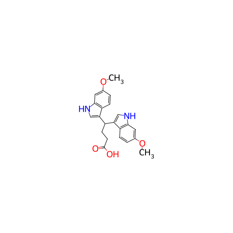 COc1ccc2c(C(CCC(=O)O)c3c[nH]c4cc(OC)ccc34)c[nH]c2c1